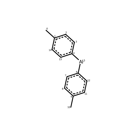 Cc1cc[c]([Al][c]2ccc(C)cc2)cc1